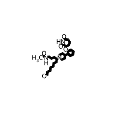 CC(=O)NCCCC(CCCCCCC=O)N1CCC(c2ccccc2OC2CCCC(=O)NC2=O)CC1